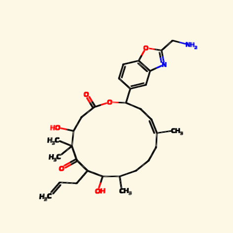 C=CCC1C(=O)C(C)(C)C(O)CC(=O)OC(c2ccc3oc(CN)nc3c2)CC=C(C)CCCC(C)C1O